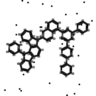 c1ccc(-c2ccc(-c3nc(-c4ccccc4)nc(-c4cccc5cc(-n6c7ccccc7c7c6ccc6c8ccccc8n(-c8ccccc8)c67)ccc45)n3)cc2)cc1